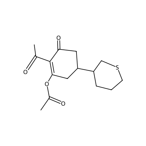 CC(=O)OC1=C(C(C)=O)C(=O)CC(C2CCCSC2)C1